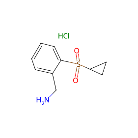 Cl.NCc1ccccc1S(=O)(=O)C1CC1